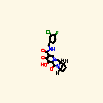 O=C(NCc1ccc(F)c(Cl)c1)c1cn2c(c(O)c1=O)C(=O)N1[C@H]3CC[C@H](CC3)[C@@H]1C2